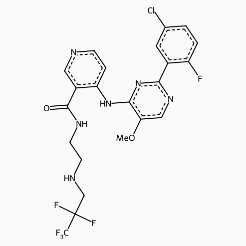 COc1cnc(-c2cc(Cl)ccc2F)nc1Nc1ccncc1C(=O)NCCNCC(F)(F)C(F)(F)F